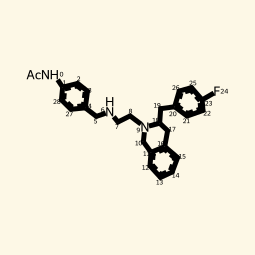 CC(=O)Nc1ccc(CNCCN2Cc3ccccc3CC2Cc2ccc(F)cc2)cc1